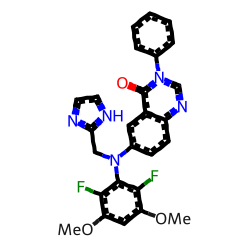 COc1cc(OC)c(F)c(N(Cc2ncc[nH]2)c2ccc3ncn(-c4ccccc4)c(=O)c3c2)c1F